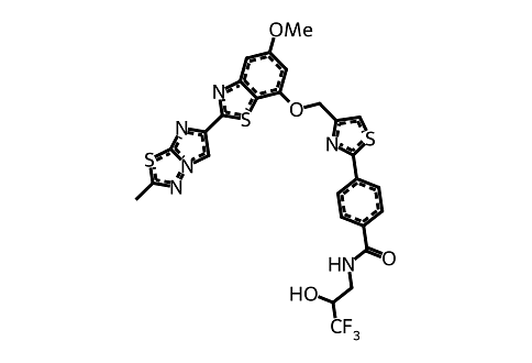 COc1cc(OCc2csc(-c3ccc(C(=O)NCC(O)C(F)(F)F)cc3)n2)c2sc(-c3cn4nc(C)sc4n3)nc2c1